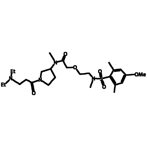 CCN(CC)CCC(=O)N1CCC(N(C)C(=O)COCCN(C)S(=O)(=O)c2c(C)cc(OC)cc2C)C1